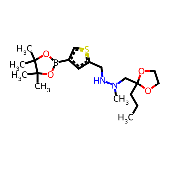 CCCC1(CN(C)NCc2cc(B3OC(C)(C)C(C)(C)O3)cs2)OCCO1